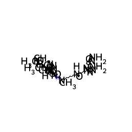 Cc1c(CC(=O)N(C)C)ccc(NC(=O)c2nn([C@@H]3CCCN(C(=O)/C=C/CN(C)CCCCCCCCNC(=O)CCCCn4nc(-c5ccc6oc(N)nc6c5)c5c(N)ncnc54)C3)c3ncnc(N)c23)c1C